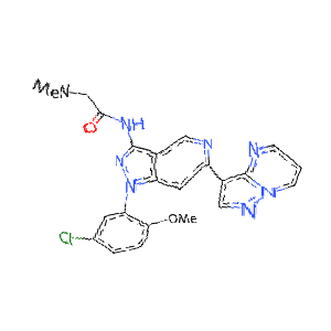 CNCC(=O)Nc1nn(-c2cc(Cl)ccc2OC)c2cc(-c3cnn4cccnc34)ncc12